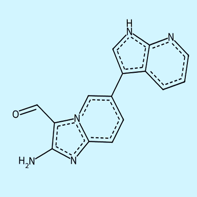 Nc1nc2ccc(-c3c[nH]c4ncccc34)cn2c1C=O